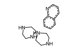 C1CNCCN1.C1CNCCN1.c1ccc2ncccc2c1